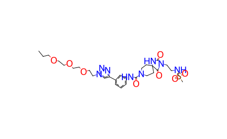 CCCOCCOCCOCCn1cc(-c2cccc(NC(=O)N3CCC4(CC3)NC(=O)N(CCNS(C)(=O)=O)C4=O)c2)nn1